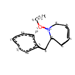 O=C(O)ON1CC=CCC1Cc1ccccc1